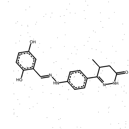 CC1CC(=O)NN=C1c1ccc(N/N=C/c2cc(O)ccc2O)cc1